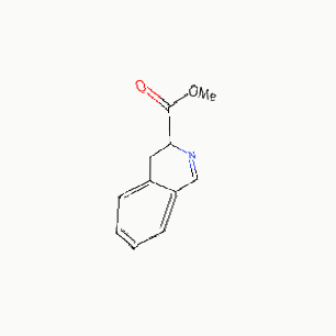 COC(=O)C1Cc2ccccc2C=N1